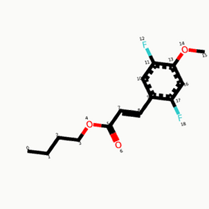 CCCCOC(=O)C=Cc1cc(F)c(OC)cc1F